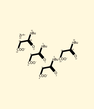 CCCCC(=O)CC(=O)[O-].CCCCC(=O)CC(=O)[O-].CCCCC(=O)CC(=O)[O-].CCCCC(=O)CC(=O)[O-].[Zr+4]